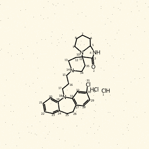 Cl.Cl.O=C1NC2CCCCN2C12CCN(CCCN1c3ccccc3CCc3ccc(Cl)cc31)CC2